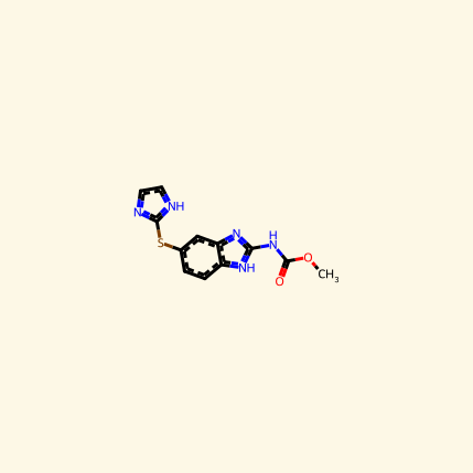 COC(=O)Nc1nc2cc(Sc3ncc[nH]3)ccc2[nH]1